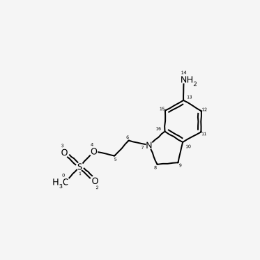 CS(=O)(=O)OCCN1CCc2ccc(N)cc21